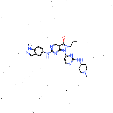 C=CCn1c(=O)c2cnc(Nc3ccc4c(cnn4C)c3)nc2n1-c1ccnc(NC2CCN(C)CC2)n1